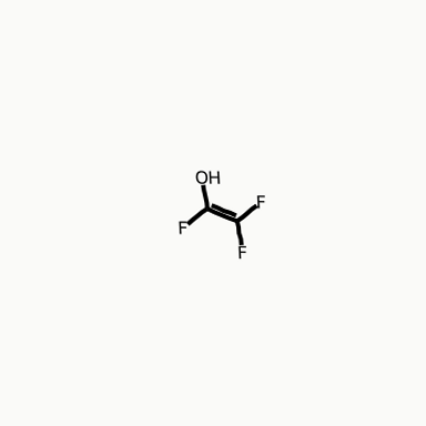 OC(F)=C(F)F